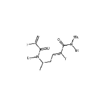 C=C(F)C(=O)N(CC)C(C)C/C=C(\F)C(=O)N(CC)C(C)(C)C